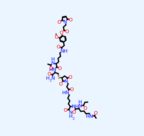 CCC(=O)NC(CCCCNC(C)=O)C(=O)NC(CCCCNC(=O)CCN1C(=O)CC(SCC(NC(=O)C(CCCCNC(=O)Cc2ccc(OC(=O)CCN3C(=O)C=CC3=O)c(OC)c2)NC(C)=O)C(N)=O)C1=O)C(N)=O